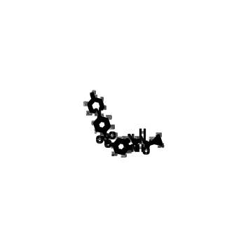 CC1CCN(c2ccc(S(=O)(=O)Oc3ccc4[nH]c(NC(=O)C5CC5)nc4c3)cc2)CC1